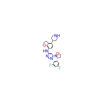 Fc1cc(F)cc([C@H]2CCON2c2cc(Nc3ccc(C4CCNCC4)c4c3OCC4)ncn2)c1